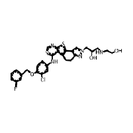 OCCNC[C@@H](O)Cn1cc2c(n1)CCc1c-2sc2ncnc(Nc3ccc(OCc4cccc(F)c4)c(Cl)c3)c12